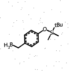 BCc1ccc(O[Si](C)(C)C(C)(C)C)cc1